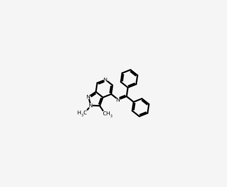 Cc1c2c(N=C(c3ccccc3)c3ccccc3)cncc2nn1C